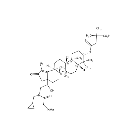 CNCC(=O)N(CC1CC1)CC(O)C12CC[C@]3(C)[C@H](CC[C@@H]4[C@@]5(C)CC[C@H](OC(=O)CC(C)(C)C(=O)O)C(C)(C)[C@@H]5CC[C@]43C)C1=C(C(C)C)C(=O)C2